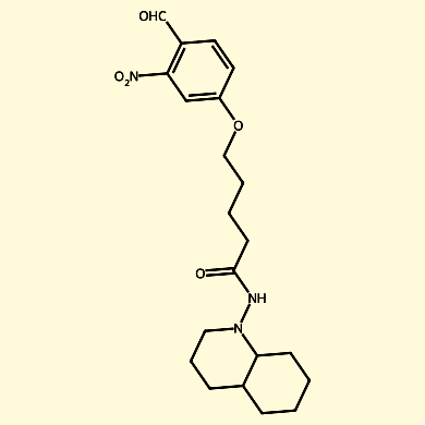 O=Cc1ccc(OCCCCC(=O)NN2CCCC3CCCCC32)cc1[N+](=O)[O-]